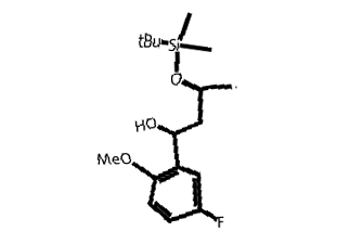 [CH2]C(CC(O)c1cc(F)ccc1OC)O[Si](C)(C)C(C)(C)C